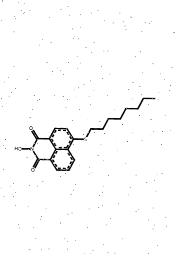 CCCCCCCCSc1ccc2c3c(cccc13)C(=O)N(O)C2=O